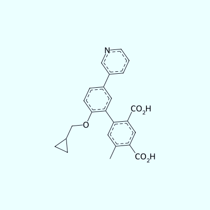 Cc1cc(-c2cc(-c3cccnc3)ccc2OCC2CC2)c(C(=O)O)cc1C(=O)O